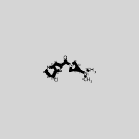 CN(C)C1C2CN(C(=O)c3cc4nccc(Cl)c4s3)CC21